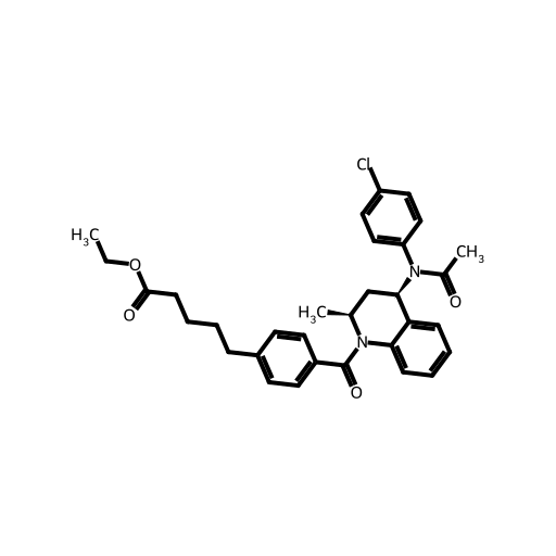 CCOC(=O)CCCCc1ccc(C(=O)N2c3ccccc3[C@H](N(C(C)=O)c3ccc(Cl)cc3)C[C@@H]2C)cc1